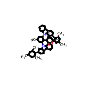 Cc1cc(C)c(-c2ccc3c4ccccc4n(-c4cc(C#N)cc(-n5c6ccccc6c6ccc(-c7c(C)cc(C)cc7C)cc65)c4-c4ccc(C(F)(F)F)cc4C(F)(F)F)c3c2)c(C)c1